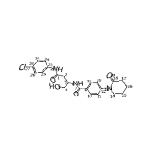 O=C(CC(CO)NC(=O)c1ccc(N2CCCCC2=O)cc1)Nc1ccc(Cl)cc1